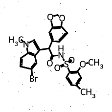 COc1cc(C)ccc1S(=O)(=O)NC(=O)C(c1ccc2c(c1)OCO2)c1cn(C)c2ccc(Br)cc12